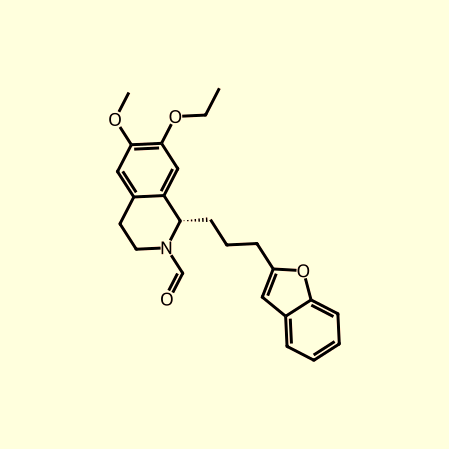 CCOc1cc2c(cc1OC)CCN(C=O)[C@H]2CCCc1cc2ccccc2o1